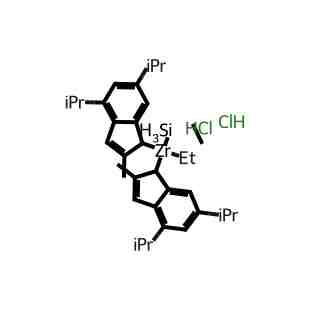 CC.C[CH2][Zr]([SiH3])([CH]1C(C)=Cc2c(C(C)C)cc(C(C)C)cc21)[CH]1C(C)=Cc2c(C(C)C)cc(C(C)C)cc21.Cl.Cl